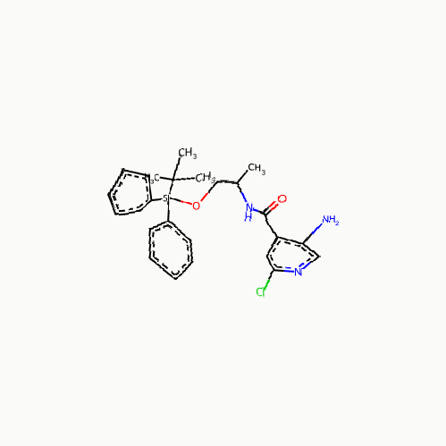 CC(CO[Si](c1ccccc1)(c1ccccc1)C(C)(C)C)NC(=O)c1cc(Cl)ncc1N